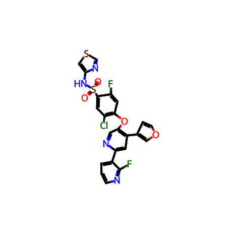 O=S(=O)(Nc1cscn1)c1cc(Cl)c(Oc2cnc(-c3cccnc3F)cc2-c2ccoc2)cc1F